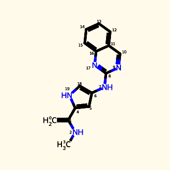 C=C(NC)c1cc(Nc2ncc3ccccc3n2)c[nH]1